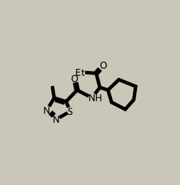 CCC(=O)C(NC(=O)c1snnc1C)C1CCCCC1